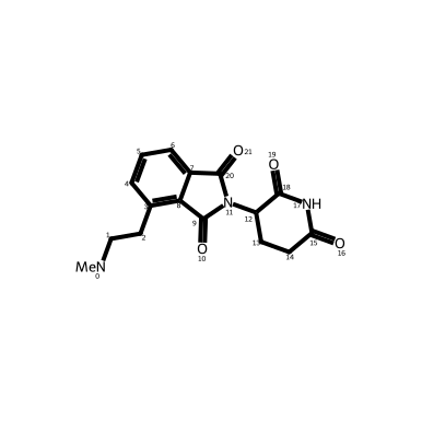 CNCCc1cccc2c1C(=O)N(C1CCC(=O)NC1=O)C2=O